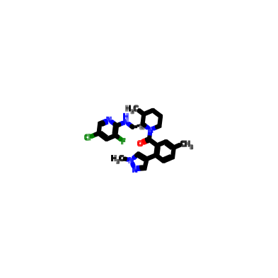 Cc1ccc(-c2cnn(C)c2)c(C(=O)N2CCCC(C)[C@H]2CNc2ncc(Cl)cc2F)c1